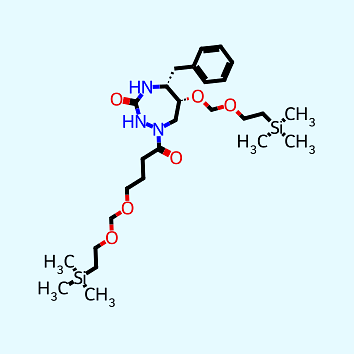 C[Si](C)(C)CCOCOCCCC(=O)N1C[C@@H](OCOCC[Si](C)(C)C)[C@@H](Cc2ccccc2)NC(=O)N1